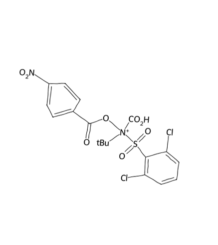 CC(C)(C)[N+](OC(=O)c1ccc([N+](=O)[O-])cc1)(C(=O)O)S(=O)(=O)c1c(Cl)cccc1Cl